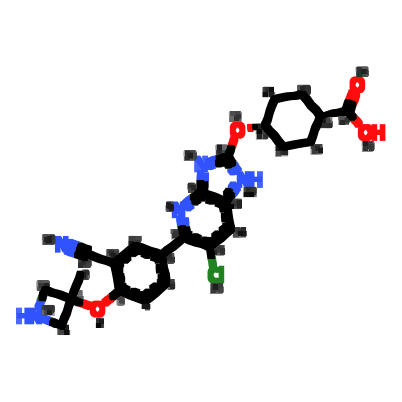 CC1(Oc2ccc(-c3nc4nc(O[C@H]5CC[C@H](C(=O)O)CC5)[nH]c4cc3Cl)cc2C#N)CNC1